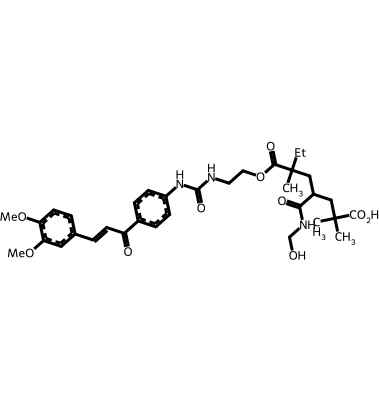 CCC(C)(CC(CC(C)(C)C(=O)O)C(=O)NCO)C(=O)OCCNC(=O)Nc1ccc(C(=O)C=Cc2ccc(OC)c(OC)c2)cc1